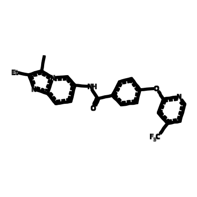 CCc1nc2ccc(NC(=O)c3ccc(Oc4cc(C(F)(F)F)ccn4)cc3)cn2c1C